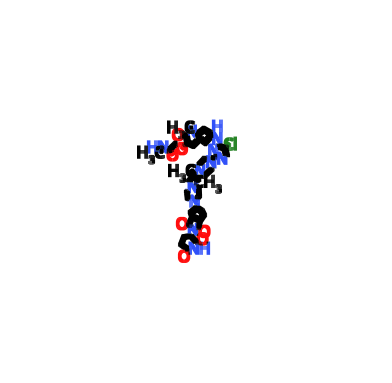 CNC(=O)COc1cc2cc(Nc3nc(N4CCN(C(C)(C)CN5CCN(c6ccc7c(c6)C(=O)N(C6CCC(=O)NC6=O)C7=O)CC5)CC4)ncc3Cl)ccc2n(C)c1=O